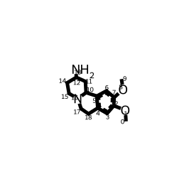 COc1cc2c(cc1OC)C1CC(N)CCN1CC2